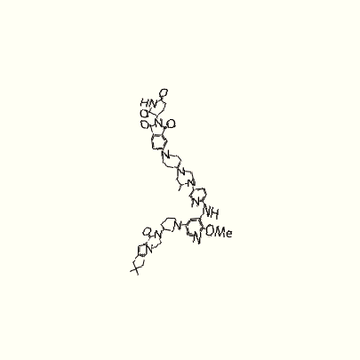 COc1ncc(N2CCC[C@H](N3CCn4c(cc5c4CC(C)(C)C5)C3=O)C2)cc1Nc1ccc(N2CCN(C3CCN(c4ccc5c(c4)C(=O)N(C4CCC(=O)NC4=O)C5=O)CC3)C[C@@H]2C)cn1